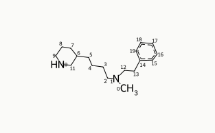 CN(CCCCC1CCCNC1)CCc1ccccc1